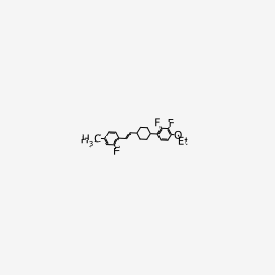 CCOc1ccc(C2CCC(/C=C/c3ccc(C)cc3F)CC2)c(F)c1F